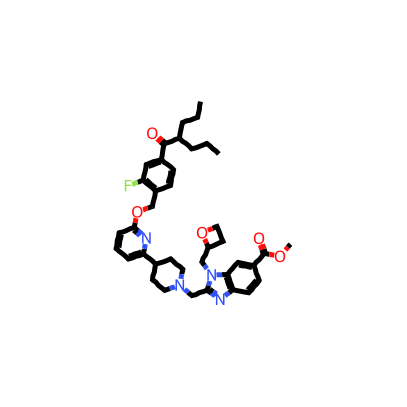 CCCC(CCC)C(=O)c1ccc(COc2cccc(C3CCN(Cc4nc5ccc(C(=O)OC)cc5n4CC4CCO4)CC3)n2)c(F)c1